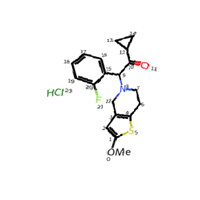 COc1cc2c(s1)CCN(C(C(=O)C1CC1)c1ccccc1F)C2.Cl